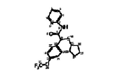 O=C(Nc1ccccn1)C(SC1CCCC1)c1ccc(OC(F)(F)F)cc1